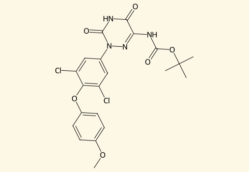 COc1ccc(Oc2c(Cl)cc(-n3nc(NC(=O)OC(C)(C)C)c(=O)[nH]c3=O)cc2Cl)cc1